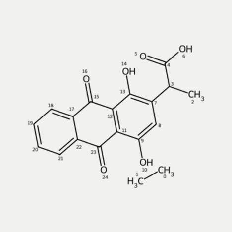 CC.CC(C(=O)O)c1cc(O)c2c(c1O)C(=O)c1ccccc1C2=O